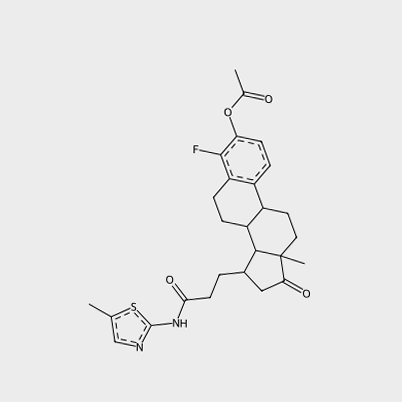 CC(=O)Oc1ccc2c(c1F)CCC1C2CCC2(C)C(=O)CC(CCC(=O)Nc3ncc(C)s3)C12